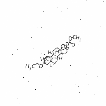 CCO[C@H]1C=C[C@@]2(C)[C@@H](CC[C@@H]3[C@@H]2CC[C@]2(C)[C@@H](OC(=O)OC)CC[C@@H]32)C1